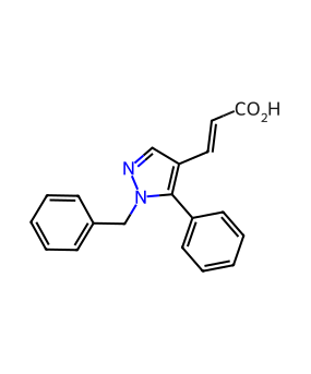 O=C(O)/C=C/c1cnn(Cc2ccccc2)c1-c1ccccc1